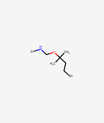 CCNCOC(C)(C)CCC(C)C